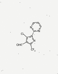 O=Cc1c(C(F)(F)F)nn(-c2ncccn2)c1Cl